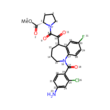 COC(=O)[C@@H]1CCCN1C(=O)C(=O)C1CCCN(C(=O)c2ccc(N)cc2Cl)c2ccc(F)cc21